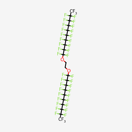 FC(F)(F)C(F)(F)C(F)(F)C(F)(F)C(F)(F)C(F)(F)C(F)(F)C(F)(F)C(F)(F)C(F)(F)OCCOC(F)(F)C(F)(F)C(F)(F)C(F)(F)C(F)(F)C(F)(F)C(F)(F)C(F)(F)C(F)(F)C(F)(F)F